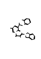 Cc1cc(C(C)Nc2ccccc2Br)c2nc(N3Cc4ccccc4C3)c(C)c(=O)n2c1